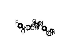 O=C(c1ccc(F)cc1)N1CCC(O)(Cn2cnc3c(cnn3-c3ccc(N4CCCn5nccc54)cc3)c2=O)CC1